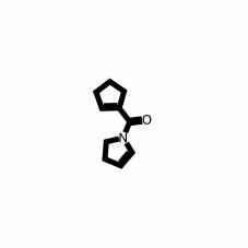 O=C(C1=CCCC1)N1C=CCC1